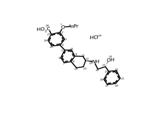 CCCOc1cc(-c2ccc3c(c2)C[C@@H](NC[C@H](O)c2ccccc2)CC3)ccc1C(=O)O.Cl